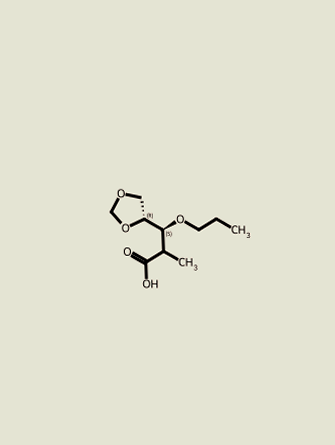 CCCO[C@@H](C(C)C(=O)O)[C@H]1COCO1